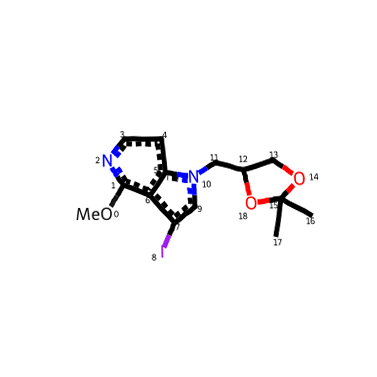 COc1nccc2c1c(I)cn2CC1COC(C)(C)O1